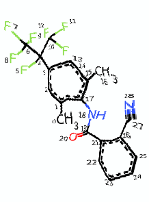 Cc1cc(C(F)(C(F)(F)F)C(F)(F)F)cc(C)c1NC(=O)c1ccccc1C#N